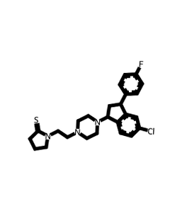 Fc1ccc(C2CC(N3CCN(CCN4CCCC4=S)CC3)c3ccc(Cl)cc32)cc1